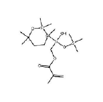 C=C(C)C(=O)OC[Si](O)(O[Si](C)(C)C)[Si]1(C)CCC(C)(C)O[Si]1(C)C